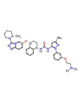 CCN(CC)CCOc1cccc(-n2nc(C(C)(C)C)cc2NC(=O)N[C@H]2CC[C@@H](Oc3ccc4nnc(N5CCCC[C@@H]5C)n4c3)c3ccccc32)c1